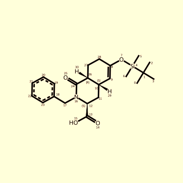 CC(C)(C)[Si](C)(C)OC1=C[C@@H]2C[C@@H](C(=O)O)N(Cc3ccccc3)C(=O)[C@@H]2CC1